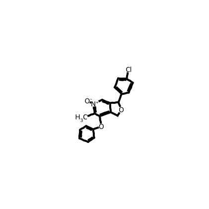 Cc1c(Oc2ccccc2)c2c(c[n+]1[O-])C(c1ccc(Cl)cc1)OC2